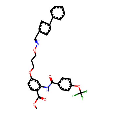 COC(=O)c1ccc(OCCCO/N=C/c2ccc(-c3ccccc3)cc2)cc1NC(=O)c1ccc(OC(F)(F)F)cc1